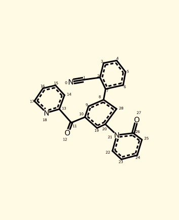 N#Cc1ccccc1-c1cc(C(=O)c2ccccn2)cc(-n2ccccc2=O)c1